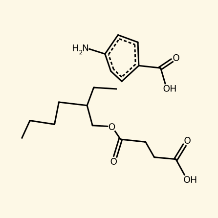 CCCCC(CC)COC(=O)CCC(=O)O.Nc1ccc(C(=O)O)cc1